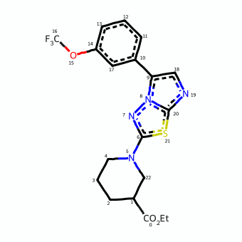 CCOC(=O)C1CCCN(c2nn3c(-c4cccc(OC(F)(F)F)c4)cnc3s2)C1